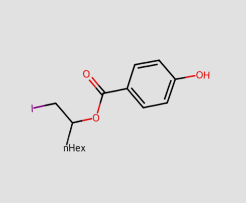 CCCCCCC(CI)OC(=O)c1ccc(O)cc1